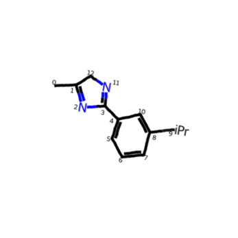 CC1=NC(c2cccc(C(C)C)c2)=NC1